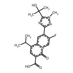 CC(C)c1cc(C(=O)O)c(=O)n2cc(F)c(-c3nc(C(C)(C)O)n(C)n3)cc12